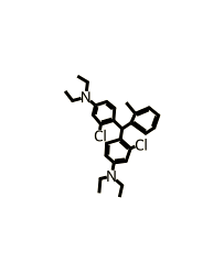 CCN(CC)c1ccc(C(c2ccccc2C)c2ccc(N(CC)CC)cc2Cl)c(Cl)c1